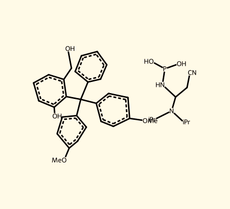 CC(C)N(C(C)C)C(CC#N)NP(O)O.COc1ccc(C(c2ccccc2)(c2ccc(OC)cc2)c2c(O)cccc2CO)cc1